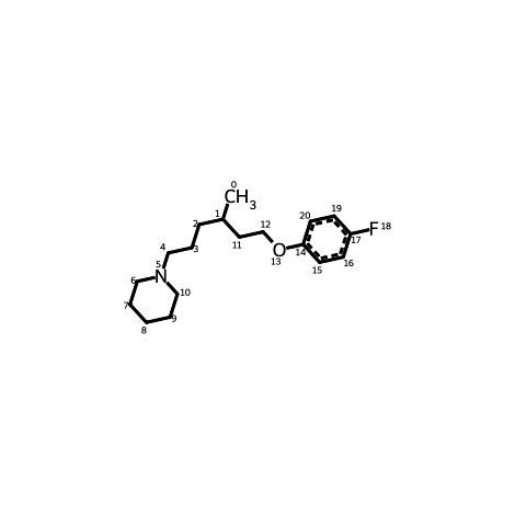 CC(CCCN1CCCCC1)CCOc1ccc(F)cc1